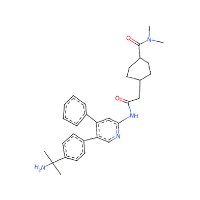 CN(C)C(=O)C1CCC(CC(=O)Nc2cc(-c3ccccc3)c(-c3ccc(C(C)(C)N)cc3)cn2)CC1